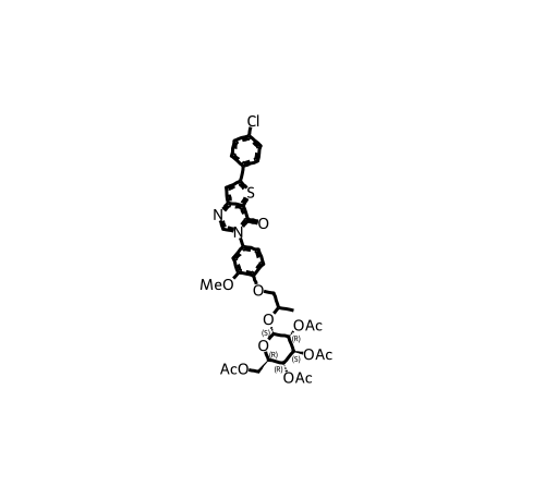 COc1cc(-n2cnc3cc(-c4ccc(Cl)cc4)sc3c2=O)ccc1OCC(C)O[C@H]1O[C@H](COC(C)=O)[C@@H](OC(C)=O)[C@H](OC(C)=O)[C@H]1OC(C)=O